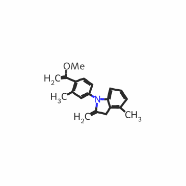 C=C(OC)c1ccc(N2C(=C)Cc3c(C)cccc32)cc1C